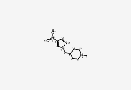 CN1CCC(Cn2cc([N+](=O)[O-])cn2)CC1